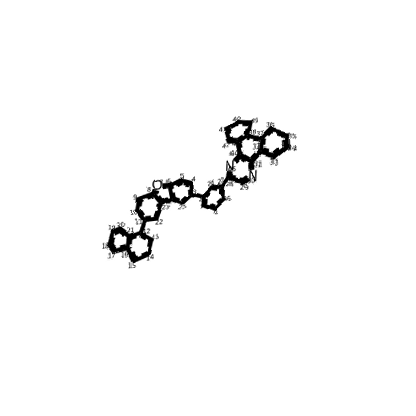 c1cc(-c2ccc3oc4ccc(-c5cccc6ccccc56)cc4c3c2)cc(-c2cnc3c4ccccc4c4ccccc4c3n2)c1